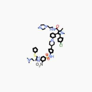 Cc1c(C(=O)NCCCN2CCN(C)CC2)c(-c2cccc(N3CCC(c4ccc(NS(=O)(=O)c5ccc(N[C@H](CCN(C)C)CSc6ccccc6)c([N+](=O)[O-])c5)cc4)CC3)c2)c(-c2ccc(Cl)cc2)n1C